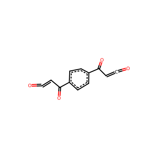 O=C=CC(=O)c1ccc(C(=O)C=C=O)cc1